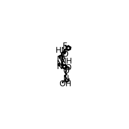 COc1cc2c(Nc3ncc(CC(=O)Nc4ccccc4F)s3)ncnc2cc1OCCCN1CCC[C@@H]1CO